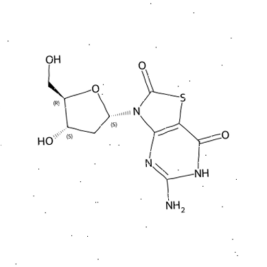 Nc1nc2c(sc(=O)n2[C@@H]2C[C@H](O)[C@@H](CO)O2)c(=O)[nH]1